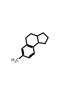 Cc1ccc2c(c1)CCC1CCCC21